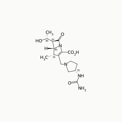 C[C@@H](O)[C@H]1C(=O)N2C(C(=O)O)=C(CN3CC[C@H](NC(N)=O)C3)[C@H](C)[C@H]12